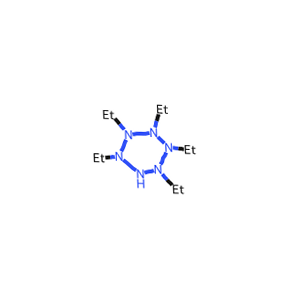 CCN1NN(CC)N(CC)N(CC)N1CC